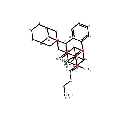 C/C(=N\OCC(=O)O)c1nc2ccccc2n(C2CC3CCCC(C2)N3CCC2CCC3CC2C3(C)C)c1=O